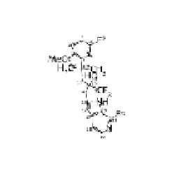 COc1ccc(F)cc1C(C)(C)CC(O)(Cc1cc2ccnc(F)c2[nH]1)C(F)(F)F